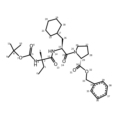 CC[C@](C)(NC(=O)OC(C)(C)C)C(=O)N[C@@H](CC1CCCCC1)C(=O)N1CCC[C@@H]1C(=O)OCc1ccccc1